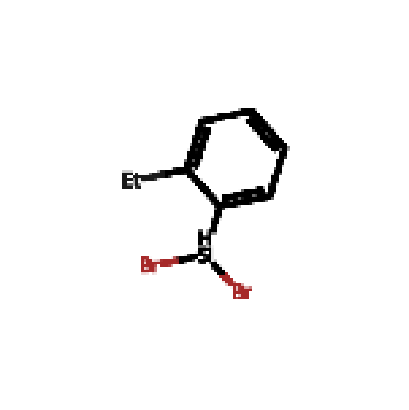 CCc1ccccc1[SiH](Br)Br